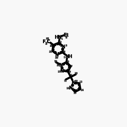 CCNc1nc(Nc2cc(C(C)(C)n3cccn3)nn2C)ncc1C(F)(F)F